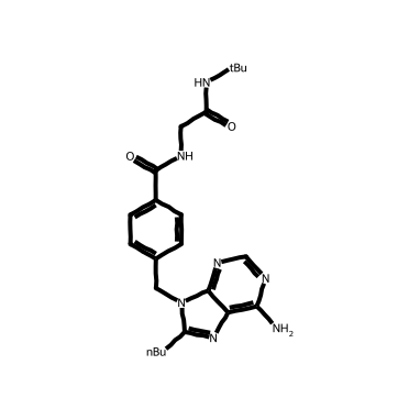 CCCCc1nc2c(N)ncnc2n1Cc1ccc(C(=O)NCC(=O)NC(C)(C)C)cc1